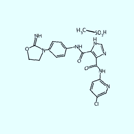 CS(=O)(=O)O.N=C1OCCN1c1ccc(NC(=O)c2[nH]cnc2C(=O)Nc2ccc(Cl)cn2)cc1